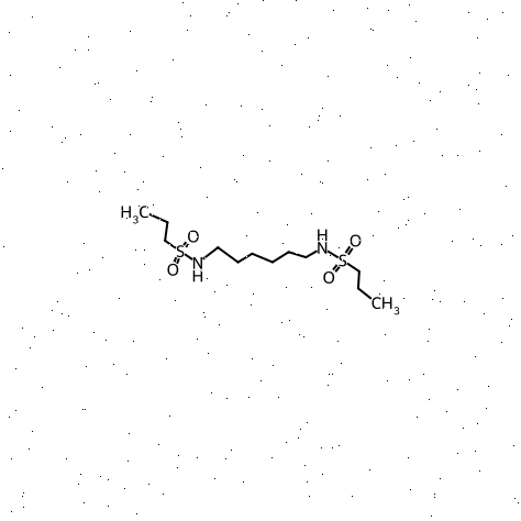 CCCS(=O)(=O)NCCCCCCNS(=O)(=O)CCC